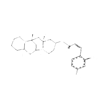 Cc1ccc(/C=C\C(=O)OC2CCN3[C@@H]4C[C@@H](C[C@@H]3C2)N2CCCC[C@@H]2C4)c(C)c1